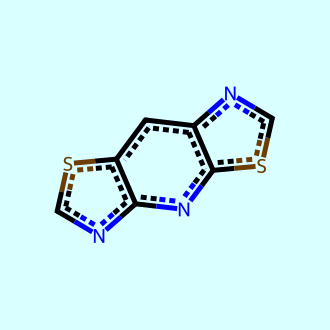 c1nc2nc3scnc3cc2s1